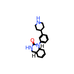 O=C1NC[C@H]2CC=CC[C@H]2N1c1cccc(C2CCNCC2)c1